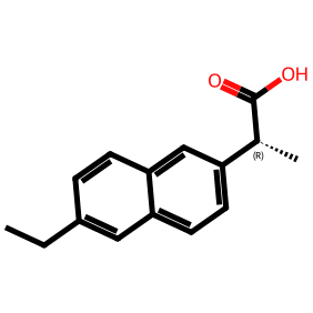 CCc1ccc2cc([C@@H](C)C(=O)O)ccc2c1